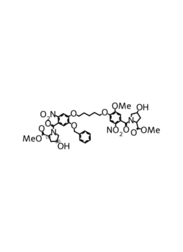 COC(=O)C1CC(O)CN1C(=O)c1cc(OC)c(OCCCCCOc2cc([N+](=O)[O-])c(C(=O)N3C[C@H](O)C[C@H]3C(=O)OC)cc2OCc2ccccc2)cc1[N+](=O)[O-]